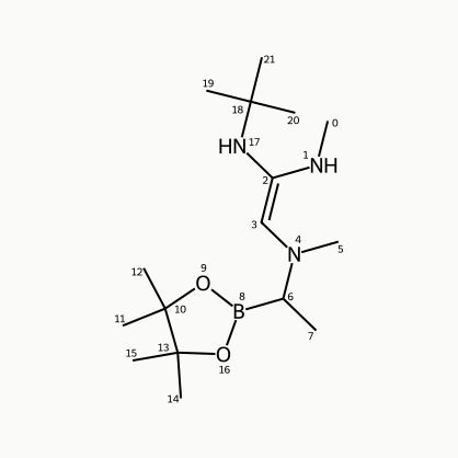 CN/C(=C\N(C)C(C)B1OC(C)(C)C(C)(C)O1)NC(C)(C)C